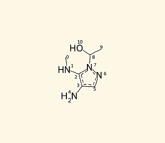 CNc1c(N)cnn1C(C)O